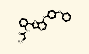 C=CC(=O)Nc1ccccc1-c1cc2nccc(Oc3ccc(Oc4ccccc4)cc3)c2o1